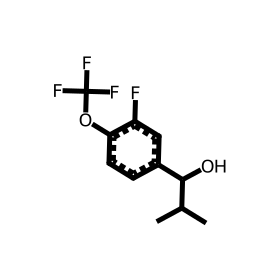 CC(C)C(O)c1ccc(OC(F)(F)F)c(F)c1